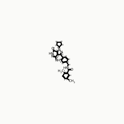 Cc1ccc(C)c(C(=O)NCc2ccc(-c3nn(C4CCCC4)c4c(=O)[nH]nc(N)c34)cc2)c1